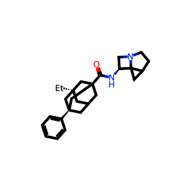 CC[C@@]12CC3CC(C(=O)N[C@H]4CN5CCC6CC645)(C1)C[C@](c1ccccc1)(C3)C2